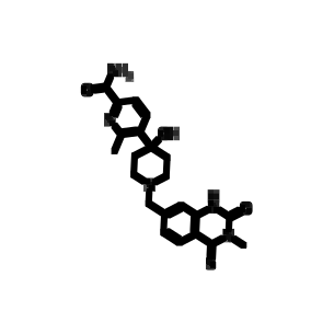 Cc1nc(C(N)=O)ccc1C1(O)CCN(Cc2ccc3c(=S)n(C)c(=O)[nH]c3c2)CC1